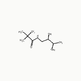 CC(O)C(O)CNC(=O)C(C)(C)C